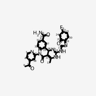 CC(=O)c1ccnc(NC(=O)C2=C(C)NC(Nc3nc4ccc(F)cc4o3)=NC2c2cccc(C(N)=O)c2)c1